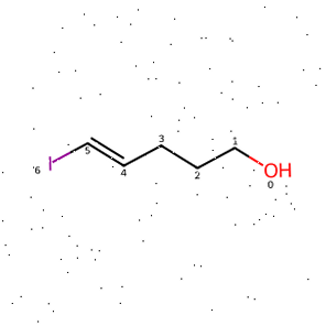 OCCCC=CI